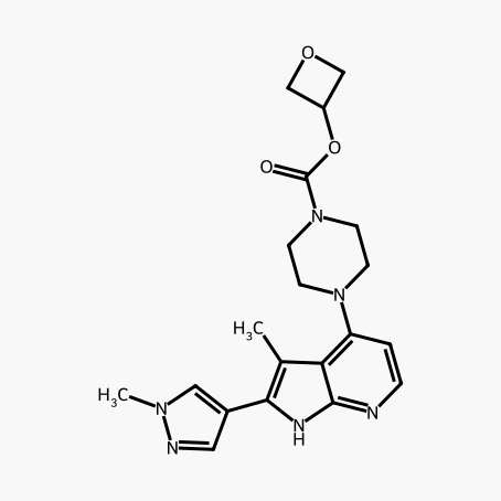 Cc1c(-c2cnn(C)c2)[nH]c2nccc(N3CCN(C(=O)OC4COC4)CC3)c12